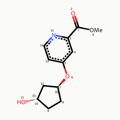 COC(=O)c1cc(O[C@H]2CC[C@H](O)C2)ccn1